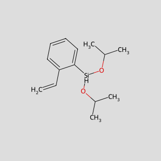 C=Cc1ccccc1[SiH](OC(C)C)OC(C)C